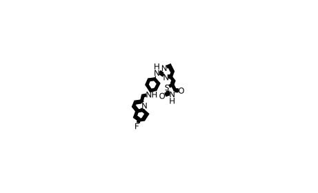 O=C1NC(=O)C(=Cc2ccnc(N[C@H]3CC[C@H](NCc4ccc5cc(F)ccc5n4)CC3)n2)S1